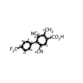 Cc1c(C(=O)O)cc(C#N)c(-c2ccc(C(F)(F)F)cc2)c1C#N